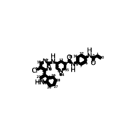 C=CC(=O)Nc1ccc(NC(=O)[C@@H]2C[C@H](Nc3ncc(Cl)c(-c4c[nH]c5ccccc45)n3)CN(C)C2)cc1